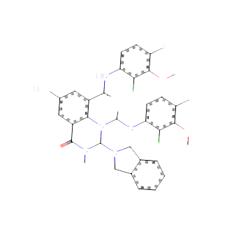 COc1c(F)ccc(NC(C)c2cc(C)cc3c2N(C(C)Nc2ccc(F)c(OC)c2F)C(N2Cc4ccccc4C2)N(C)C3=O)c1F